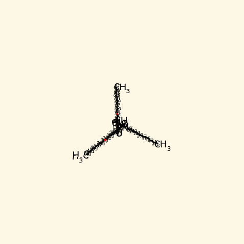 CCCCCCCCCCCCCCCCCCNC(=O)c1cc(C(=O)NCCCCCCCCCCCCCCCCCC)cc(C(=O)NCCCCCCCCCCCCCCCCCC)c1